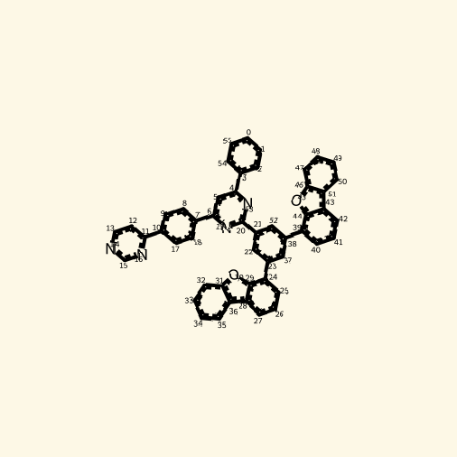 c1ccc(-c2cc(-c3ccc(-c4ccncn4)cc3)nc(-c3cc(-c4cccc5c4oc4ccccc45)cc(-c4cccc5c4oc4ccccc45)c3)n2)cc1